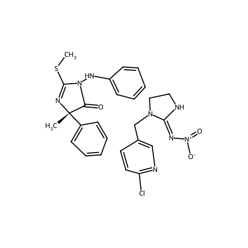 CSC1=N[C@@](C)(c2ccccc2)C(=O)N1Nc1ccccc1.O=[N+]([O-])/N=C1\NCCN1Cc1ccc(Cl)nc1